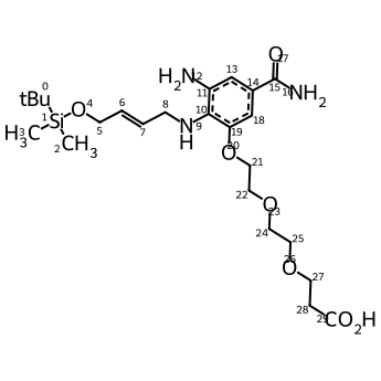 CC(C)(C)[Si](C)(C)OCC=CCNc1c(N)cc(C(N)=O)cc1OCCOCCOCCC(=O)O